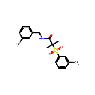 CC(C)(C(=O)NCc1cccc(C(F)(F)F)c1)S(=O)(=O)c1cccc(C(F)(F)F)c1